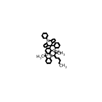 C=C/C=C\C=C(\B(c1ccccc1C(C)C)c1cccc2c1Oc1ccccc1C21c2ccccc2N(c2ccccc2)c2ccccc21)C(C)C